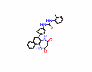 Cc1ccccc1NC(=S)Nc1ccc(-c2cc3ccccc3c3c2NC(=O)CC(=O)N3)cc1